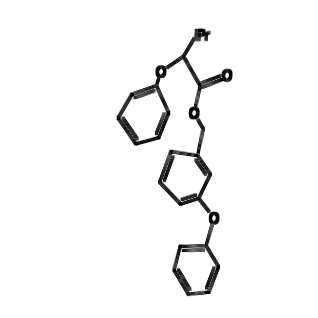 CC(C)C(Oc1ccccc1)C(=O)OCc1cccc(Oc2ccccc2)c1